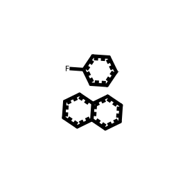 Fc1cc[c]cc1.c1ccc2ccccc2c1